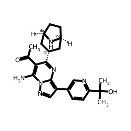 CC(=O)c1c([C@@H]2C[C@H]3CC[C@@H](C2)N3)nc2c(-c3ccc(C(C)(C)O)nc3)cnn2c1N